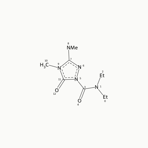 CCN(CC)C(=O)n1nc(NC)n(C)c1=O